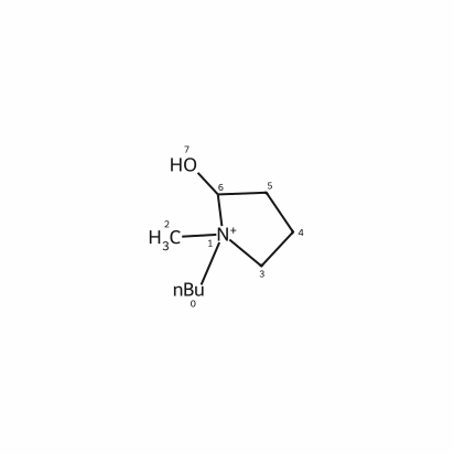 CCCC[N+]1(C)CCCC1O